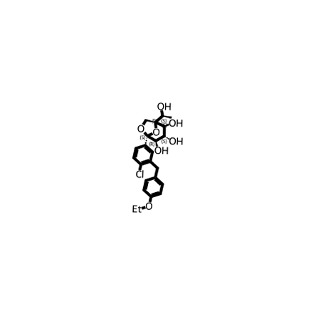 CCOc1ccc(Cc2cc([C@]34OC[C@]([C@H](C)O)(O3)[C@@H](O)[C@H](O)[C@H]4O)ccc2Cl)cc1